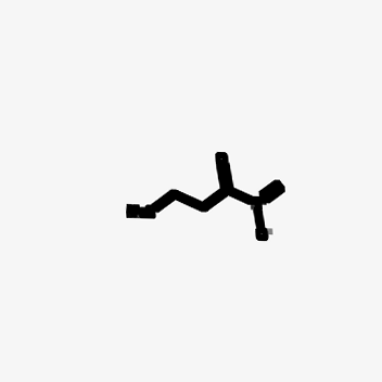 C=[N+]([O-])C(=O)CCSC